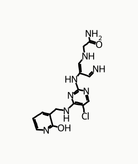 N=C/C(=C\NCC(N)=O)Nc1ncc(Cl)c(NCc2cccnc2O)n1